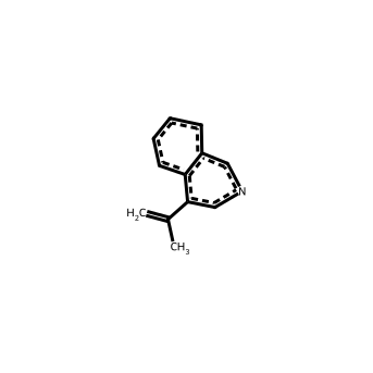 C=C(C)c1cncc2ccccc12